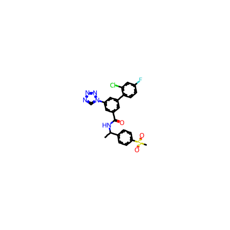 CC(NC(=O)c1cc(-c2ccc(F)cc2Cl)cc(-n2cnnn2)c1)c1ccc(S(C)(=O)=O)cc1